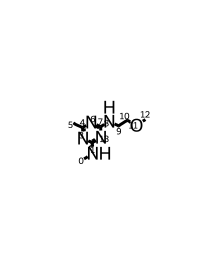 CNc1nc(C)nc(NCCOC)n1